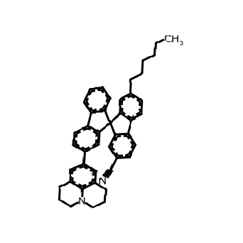 CCCCCCc1ccc2c(c1)C1(c3ccccc3-c3ccc(-c4cc5c6c(c4)CCCN6CCC5)cc31)c1cc(C#N)ccc1-2